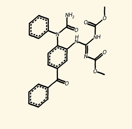 COC(=O)N=C(NC(=O)OC)Nc1cc(C(=O)c2ccccc2)ccc1N(C(N)=O)c1ccccc1